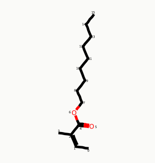 CC=C(C)C(=O)OCCCCCCCCC